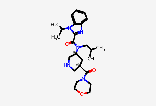 CC(C)CN(C(=O)c1nc2ccccc2n1C(C)C)[C@@H]1CNC[C@H](C(=O)N2CCOCC2)C1